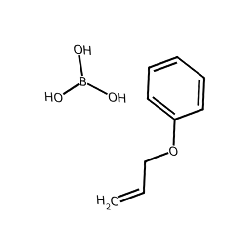 C=CCOc1ccccc1.OB(O)O